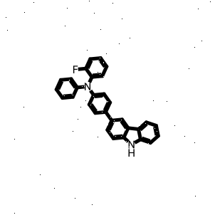 Fc1ccccc1N(c1ccccc1)c1ccc(-c2ccc3[nH]c4ccccc4c3c2)cc1